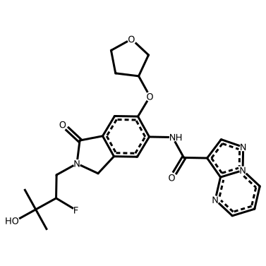 CC(C)(O)C(F)CN1Cc2cc(NC(=O)c3cnn4cccnc34)c(OC3CCOC3)cc2C1=O